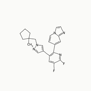 CC1(Cn2cc(-c3cc(F)c(F)nc3-c3ccn4ccnc4c3)cn2)CCCC1